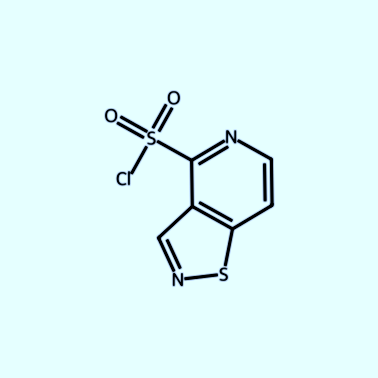 O=S(=O)(Cl)c1nccc2sncc12